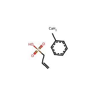 C=CCS(=O)(=O)O.Cc1ccccc1.[CaH2]